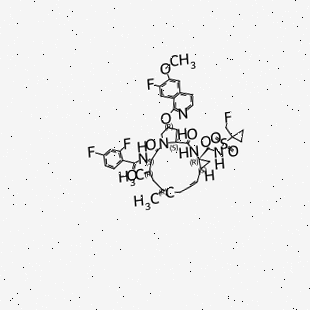 COc1cc2ccnc(O[C@@H]3C[C@H]4C(=O)N[C@]5(C(=O)NS(=O)(=O)C6(CF)CC6)C[C@H]5C=CCC[C@@H](C)C[C@@H](C)[C@H](NC(=O)c5ccc(F)cc5F)C(=O)N4C3)c2cc1F